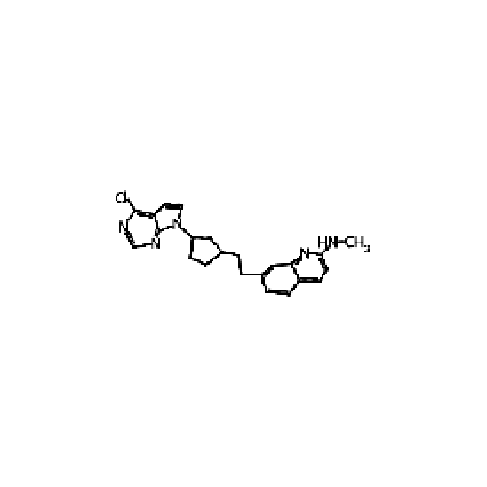 CNc1ccc2ccc(CCC3CCC(n4ccc5c(Cl)ncnc54)C3)cc2n1